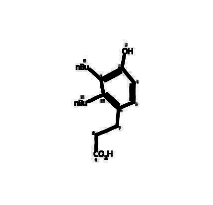 CCCCc1c(O)ccc(CCC(=O)O)c1CCCC